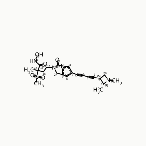 C[C@@H]1[C@@H](C#CC#Cc2cc3n(c2)C(=O)N(CCC(C)(C(=O)NO)S(C)(=O)=O)C3)CN1C